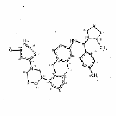 Cc1ccc(C(Nc2ccc3c(c2)Sc2cccc(C4CN(c5cc[nH]c(=O)c5)CCO4)c2S3)C2CCCN2C)nc1